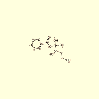 O=C(OC(O)(O)C(O)CCO)c1ccccc1